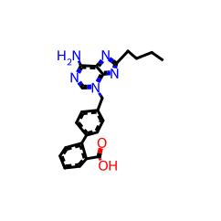 CCCCc1nc2c(N)ncn(Cc3ccc(-c4ccccc4C(=O)O)cc3)c-2n1